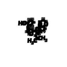 CC(C)CN(Cc1ccc2c(c1)OCCCO2)C(=O)C1CN(Cc2ccccc2O)CCO1